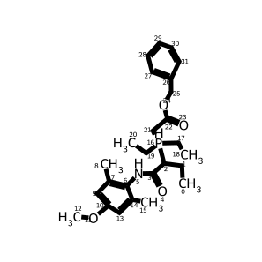 CCC(C(=O)Nc1c(C)cc(OC)cc1C)[PH](CC)(CC)CC(=O)OCc1ccccc1